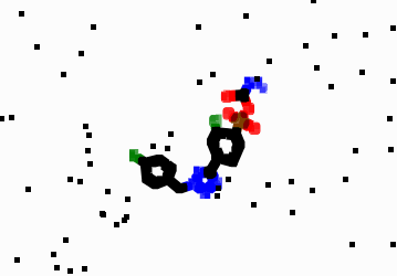 NC(=O)OS(=O)(=O)c1ccc(-c2nnn(Cc3ccc(F)cc3)n2)cc1Cl